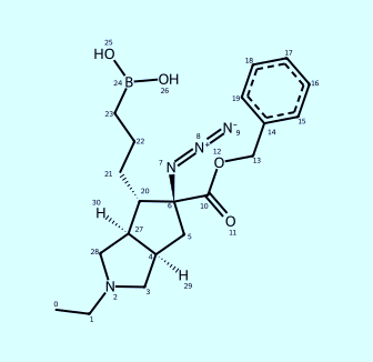 CCN1C[C@@H]2C[C@@](N=[N+]=[N-])(C(=O)OCc3ccccc3)[C@@H](CCCB(O)O)[C@@H]2C1